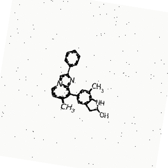 Cc1cc(-c2c(C)ccn3cc(-c4ccccc4)nc23)cc2c1NC(O)C2